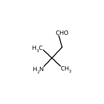 CC(C)(N)CC=O